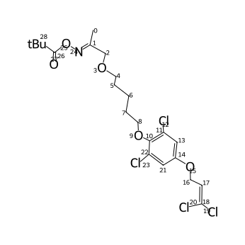 CC(COCCCCCOc1c(Cl)cc(OCC=C(Cl)Cl)cc1Cl)=NOC(=O)C(C)(C)C